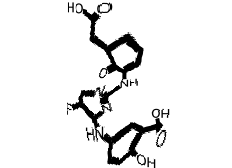 O=C(O)C=C1C=CC=C(Nc2ncc(F)c(Nc3ccc(O)c(C(=O)O)c3)n2)C1=O